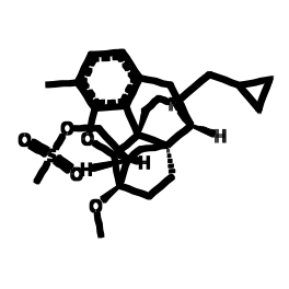 CO[C@]12CC[C@@]3(C[C@H]1COS(C)(=O)=O)[C@H]1Cc4ccc(C)c5c4[C@@]3(CCN1CC1CC1)[C@H]2O5